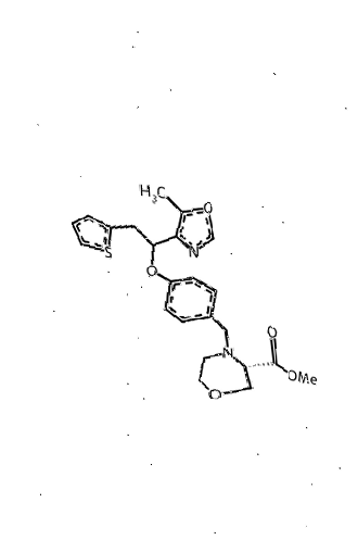 COC(=O)[C@@H]1COCCN1Cc1ccc(OC(Cc2cccs2)c2ncoc2C)cc1